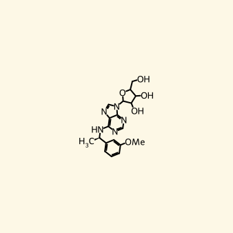 COc1cccc([C@@H](C)Nc2ncnc3c2ncn3C2OC(CO)C(O)C2O)c1